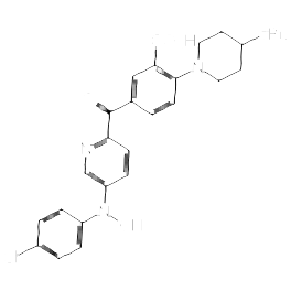 CN(c1ccc(Cl)cc1)c1ccc(C(=O)c2ccc(N3CCC(C(C)(C)C)CC3)c(C(=O)O)c2)nc1